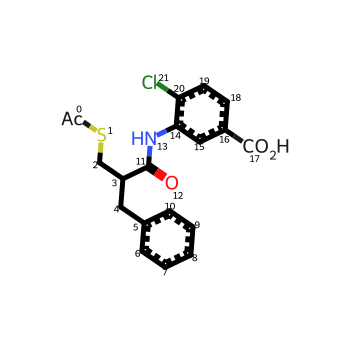 CC(=O)SCC(Cc1ccccc1)C(=O)Nc1cc(C(=O)O)ccc1Cl